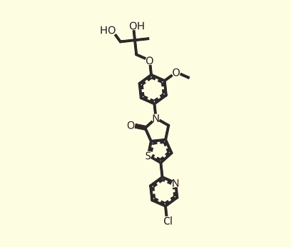 COc1cc(N2Cc3cc(-c4ccc(Cl)cn4)sc3C2=O)ccc1OCC(C)(O)CO